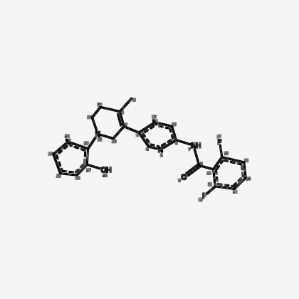 CC1=C(c2cnc(NC(=O)c3c(F)cccc3F)cn2)CN(c2ncccc2O)CC1